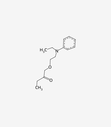 CCC(=O)COCCN(CC)c1ccccc1